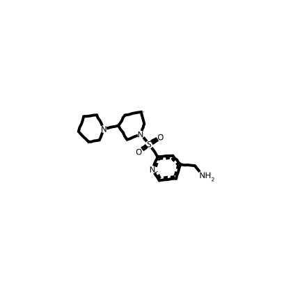 NCc1ccnc(S(=O)(=O)N2C[CH]CC(N3CCCCC3)C2)c1